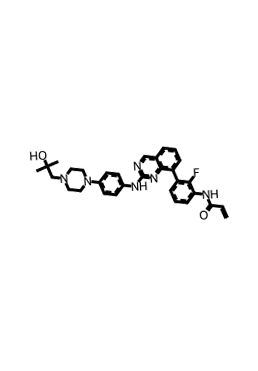 C=CC(=O)Nc1cccc(-c2cccc3cnc(Nc4ccc(N5CCN(CC(C)(C)O)CC5)cc4)nc23)c1F